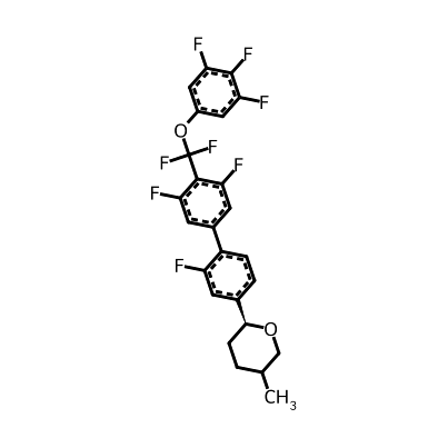 CC1CC[C@@H](c2ccc(-c3cc(F)c(C(F)(F)Oc4cc(F)c(F)c(F)c4)c(F)c3)c(F)c2)OC1